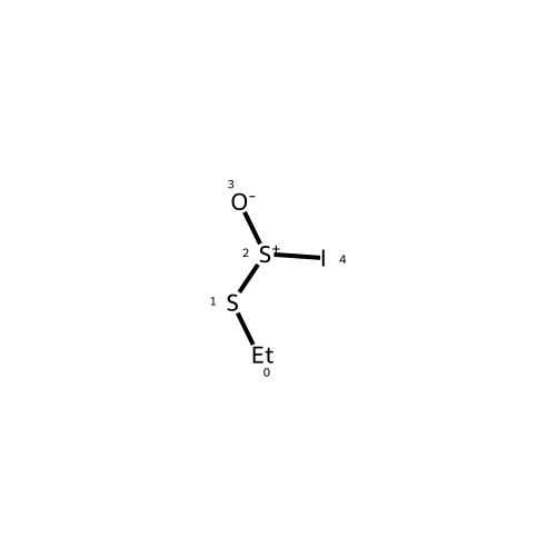 CCS[S+]([O-])I